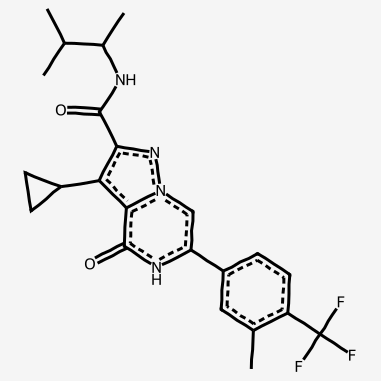 Cc1cc(-c2cn3nc(C(=O)NC(C)C(C)C)c(C4CC4)c3c(=O)[nH]2)ccc1C(F)(F)F